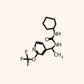 CC(NC(=O)NC1CCCCC1)c1ccnc(OC(F)(F)F)c1